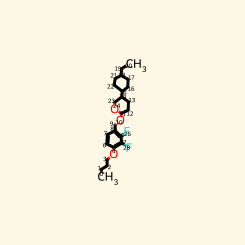 CCCCOc1ccc(COC2CCC(C3CCC(CC)CC3)CO2)c(F)c1F